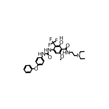 CCN(CC)CCNC(=O)c1c(OC)cc(NC(=O)Nc2ccc(Oc3ccccc3)cc2)c(C(F)(F)F)c1O